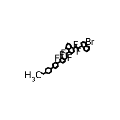 CCCC1CCC(c2ccc(-c3ccc(/C(F)=C(\F)c4ccc(/C(F)=C(\F)c5ccc(Br)c6ccccc56)c5ccccc45)c(F)c3F)cc2)CC1